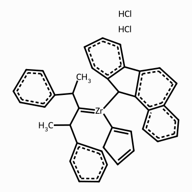 CC([C](C(C)c1ccccc1)=[Zr]([C]1=CC=CC1)[CH]1c2ccccc2-c2ccc3ccccc3c21)c1ccccc1.Cl.Cl